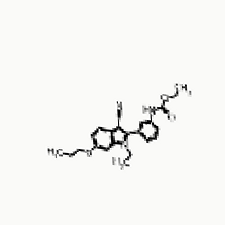 CCCOc1ccc2c(C#N)c(-c3cccc(NC(=O)OCC)c3)n(CC)c2c1